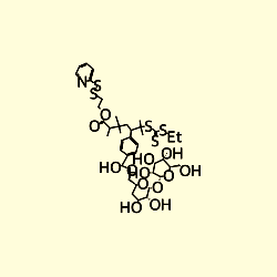 CCSC(=S)SC(C)(C)C(CC(C)(C)C(C)C(=O)OCCSSc1ccccn1)c1ccc(C(O)OC[C@@H]2C[C@H](O)[C@@H](O)[C@@H](O[C@H]3O[C@H](CO)[C@@H](O)C(O)[C@H]3O)O2)cc1